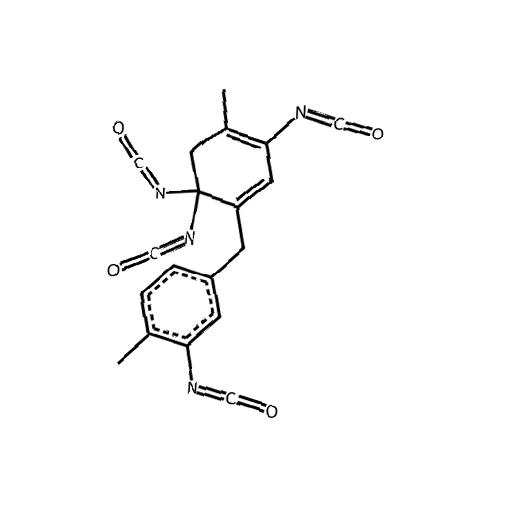 CC1=C(N=C=O)C=C(Cc2ccc(C)c(N=C=O)c2)C(N=C=O)(N=C=O)C1